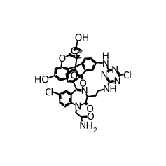 NC(=O)CN1C(=O)C(CCNc2nc(Cl)nc(Nc3ccc4c(c3)C(=O)OC43c4ccc(O)cc4Oc4cc(O)ccc43)n2)N=C(c2ccccc2)c2cc(Cl)ccc21